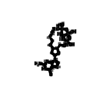 [N-]=[N+]=NCOC1C[C@H](n2cnc3c(=O)[nH]c(N)nc32)O[C@@H]1CO[PH](O)(O)O[PH](O)(O)O[PH](O)(O)O